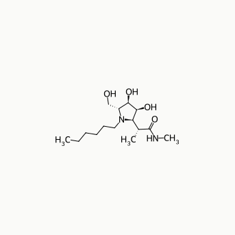 CCCCCCN1[C@H]([C@@H](C)C(=O)NC)[C@H](O)[C@H](O)[C@H]1CO